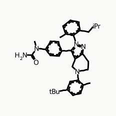 Cc1ccc(C(C)(C)C)cc1N1CCc2nn(-c3c(C)cccc3CC(C)C)c(-c3ccc(N(C)C(N)=O)cc3)c2C1